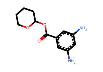 Nc1cc(N)cc(C(=O)OC2CCCCO2)c1